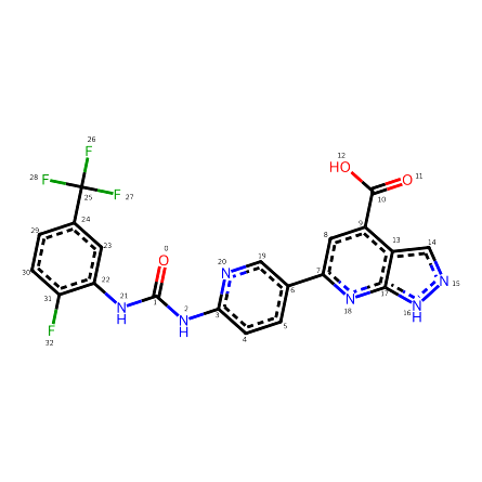 O=C(Nc1ccc(-c2cc(C(=O)O)c3cn[nH]c3n2)cn1)Nc1cc(C(F)(F)F)ccc1F